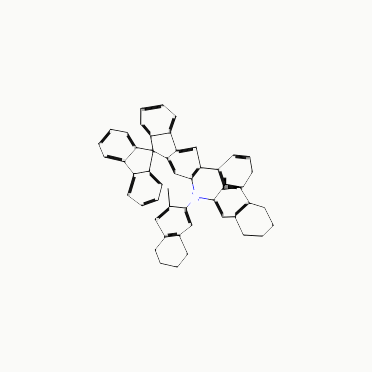 Cc1cc2c(cc1N(c1cc3c(cc1C)CCCC3)c1cc3c(cc1C1=CCCC=C1)-c1ccccc1C31c3ccccc3-c3ccccc31)CCCC2